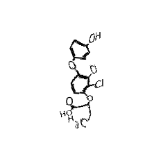 CCC(Oc1ccc(Oc2ccc(O)cc2)c(Cl)c1Cl)C(=O)O